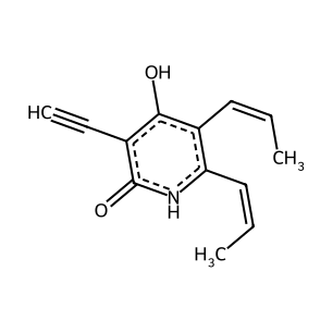 C#Cc1c(O)c(/C=C\C)c(/C=C\C)[nH]c1=O